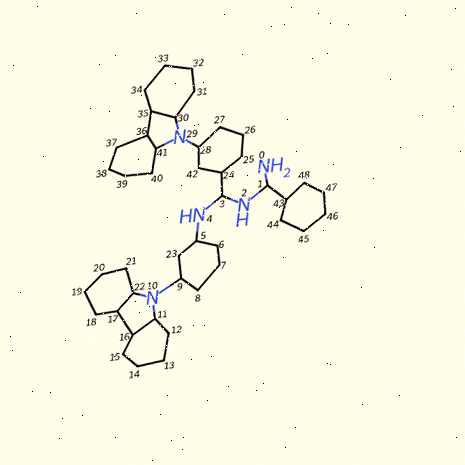 NC(NC(NC1CCCC(N2C3CCCCC3C3CCCCC32)C1)C1CCCC(N2C3CCCCC3C3CCCCC32)C1)C1CCCCC1